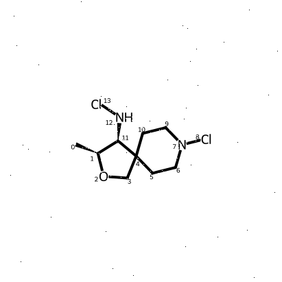 C[C@@H]1OCC2(CCN(Cl)CC2)[C@@H]1NCl